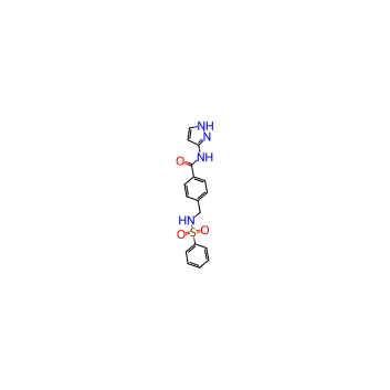 O=C(Nc1cc[nH]n1)c1ccc(CNS(=O)(=O)c2ccccc2)cc1